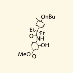 CCCCOc1ccc(C(CC)(CC)C(=O)Nc2ccc(C(=O)OC)cc2O)cc1C